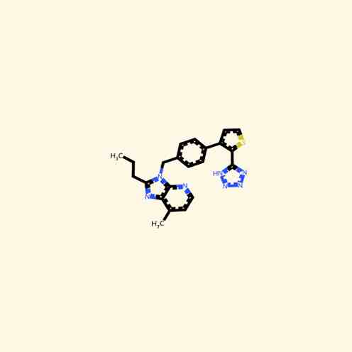 CCCc1nc2c(C)ccnc2n1Cc1ccc(-c2ccsc2-c2nnn[nH]2)cc1